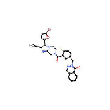 C#CC1N=C2CN(C(=O)c3cc(Cn4ncc5ccccc5c4=O)ccc3F)CCN2C1c1ccc(Br)o1